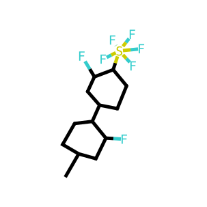 CC1CCC(C2CCC(S(F)(F)(F)(F)F)C(F)C2)C(F)C1